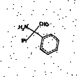 CC(C)C(N)([C]=O)c1ccccc1